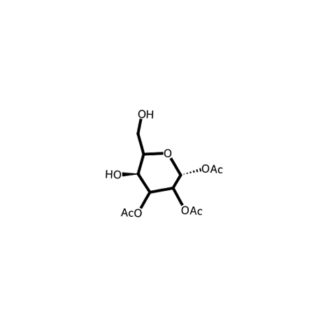 CC(=O)OC1C(OC(C)=O)[C@@H](O)C(CO)O[C@@H]1OC(C)=O